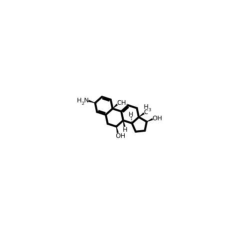 C[C@]12C=C[C@H](N)C=C1C[C@H](O)[C@@H]1C2=CC[C@]2(C)[C@@H](O)CC[C@@H]12